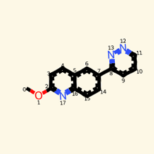 COc1ccc2cc(-c3cccnn3)ccc2n1